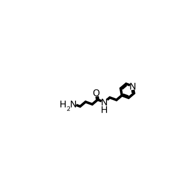 NCCCC(=O)NCCc1ccncc1